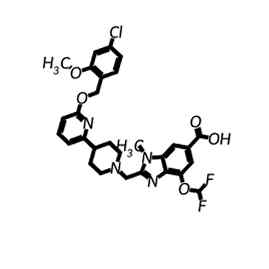 COc1cc(Cl)ccc1COc1cccc(C2CCN(Cc3nc4c(OC(F)F)cc(C(=O)O)cc4n3C)CC2)n1